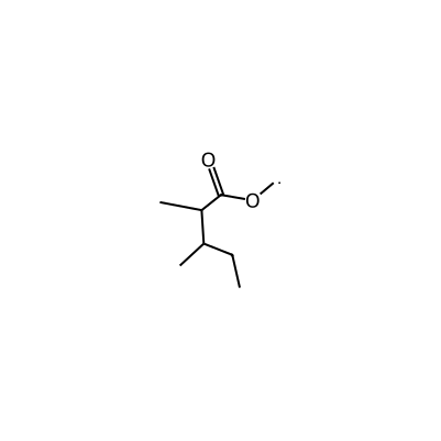 [CH2]OC(=O)C(C)C(C)CC